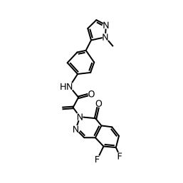 C=C(C(=O)Nc1ccc(-c2ccnn2C)cc1)n1ncc2c(F)c(F)ccc2c1=O